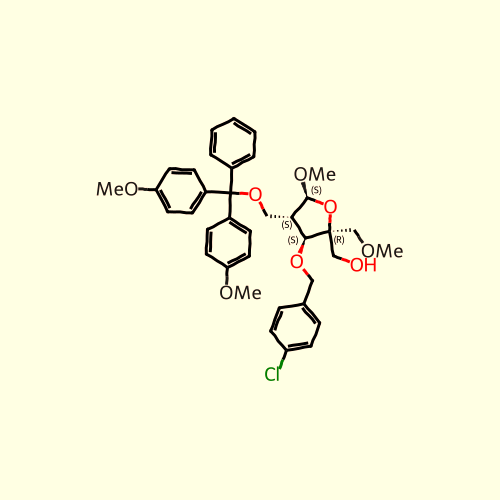 COC[C@@]1(CO)O[C@H](OC)[C@@H](COC(c2ccccc2)(c2ccc(OC)cc2)c2ccc(OC)cc2)[C@@H]1OCc1ccc(Cl)cc1